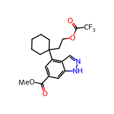 COC(=O)c1cc(C2(CCOC(=O)C(F)(F)F)CCCCC2)c2cn[nH]c2c1